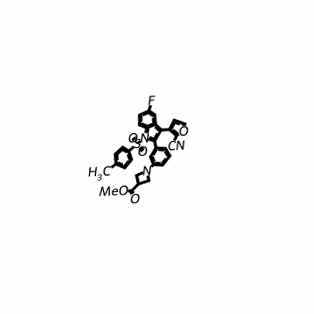 COC(=O)C1CN(c2cccc(-c3c(-c4ccoc4C#N)c4cc(F)ccc4n3S(=O)(=O)c3ccc(C)cc3)c2)C1